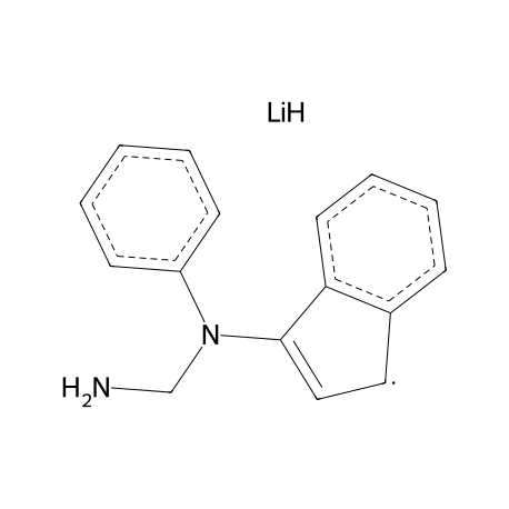 NCN(C1=C[CH]c2ccccc21)c1ccccc1.[LiH]